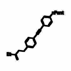 C=C(CC)CCc1ccc(C#Cc2ccc(CCCCC)cc2)cc1